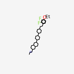 C/C=C/C1CCC2CC(C3CCC(C4CCC(CCc5ccc(OCC)c(F)c5F)CC4)CC3)CCC2C1